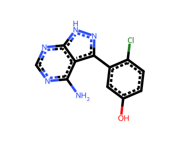 Nc1ncnc2[nH]nc(-c3cc(O)ccc3Cl)c12